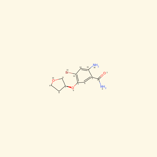 NC(=O)c1cc(O[C@H]2CCOC2)c(Br)cc1N